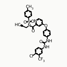 C#CCN(C(=O)c1cc(Oc2ccc(NC(=O)Nc3ccc(Cl)c(C(F)(F)F)c3)cc2)ccn1)S(=O)(=O)c1ccc(C)cc1